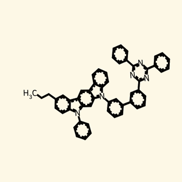 CCCc1ccc2c(c1)c1cc3c4ccccc4n(-c4cccc(-c5cccc(-c6nc(-c7ccccc7)nc(-c7ccccc7)n6)c5)c4)c3cc1n2-c1ccccc1